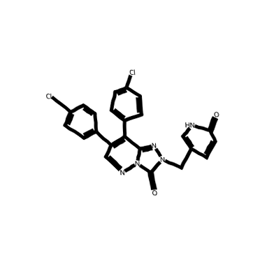 O=c1ccc(Cn2nc3c(-c4ccc(Cl)cc4)c(-c4ccc(Cl)cc4)cnn3c2=O)c[nH]1